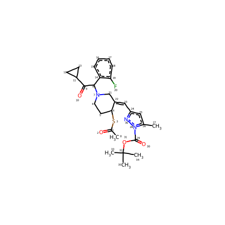 CC(=O)SC1CCN(C(C(=O)C2CC2)c2ccccc2F)CC1=Cc1cc(C)n(C(=O)OC(C)(C)C)n1